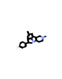 Cc1cc2c3c(c1)c1c(n3CC2c2ccc(F)cc2)CCN(C)C1